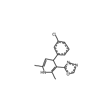 CC1=CC(c2cccc(Cl)c2)C(c2nnco2)=C(C)N1